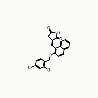 O=C1NC(=O)/C(=C\c2c(OCc3ccc(Cl)cc3Cl)ccc3ccccc23)S1